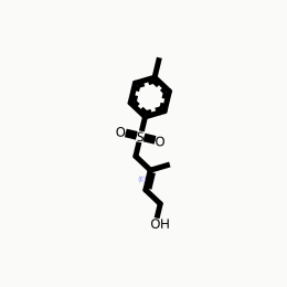 C/C(=C\CO)CS(=O)(=O)c1ccc(C)cc1